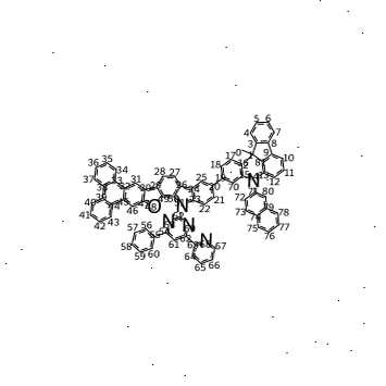 CC1(C)c2ccccc2-c2cccc(N(c3cccc(-c4ccc5c(c4)c4ccc6c7cc8c9ccccc9c9ccccc9c8cc7oc6c4n5-c4nc(-c5ccccc5)cc(-c5ccccn5)n4)c3)c3ccc4ccccc4c3)c21